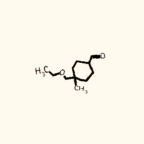 CCOCC1(C)CCC(C=O)CC1